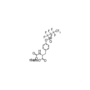 COC(=O)C(Cc1ccc(OS(=O)(=O)C(F)(F)C(F)(F)C(F)(F)C(F)(F)F)cc1)NC(=O)OC(C)(C)C